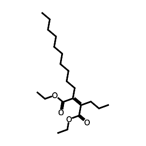 CCCCCCCCCC/C(C(=O)OCC)=C(\CCC)C(=O)OCC